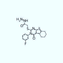 NNC(=O)CSc1nc2sc3c(c2c(=O)n1-c1cccc(F)c1)CCCC3